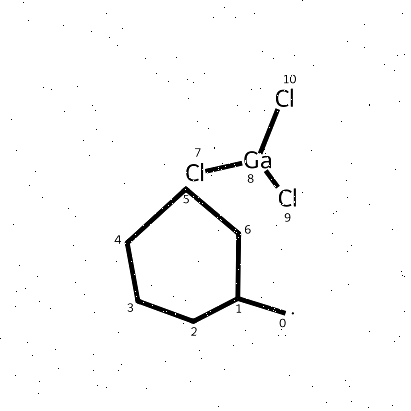 [CH2]C1CCCCC1.[Cl][Ga]([Cl])[Cl]